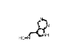 ON=Cc1c[nH]c2ncncc12